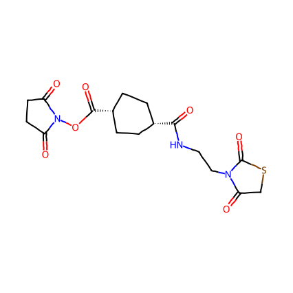 O=C1CSC(=O)N1CCNC(=O)[C@H]1CC[C@@H](C(=O)ON2C(=O)CCC2=O)CC1